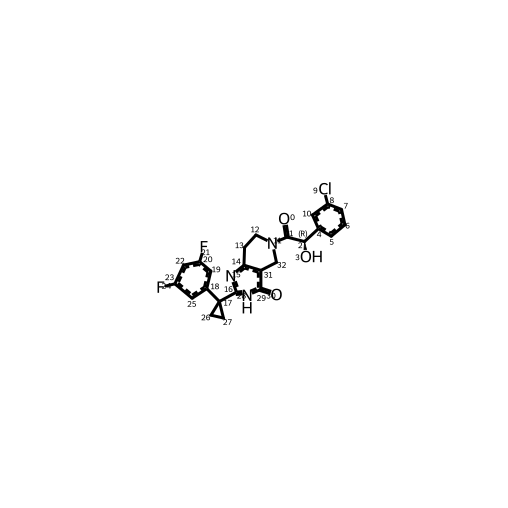 O=C([C@H](O)c1cccc(Cl)c1)N1CCc2nc(C3(c4cc(F)cc(F)c4)CC3)[nH]c(=O)c2C1